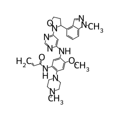 C=CC(=O)Nc1cc(Nc2cc(N3OCCC3c3cccc4c3cnn4C)ncn2)c(OC)cc1N1CCN(C)CC1